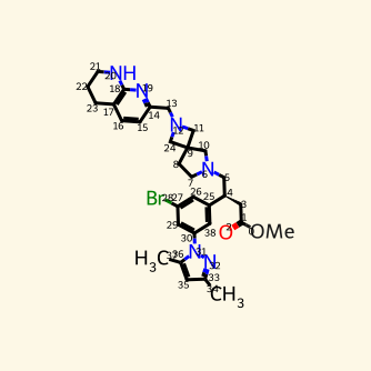 COC(=O)C[C@H](CN1CCC2(C1)CN(Cc1ccc3c(n1)NCCC3)C2)c1cc(Br)cc(-n2nc(C)cc2C)c1